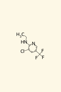 CCNc1ncc(C(F)(F)F)cc1Cl